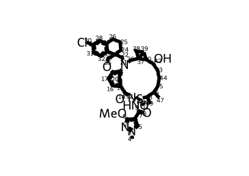 COc1nn(C)cc1C(=O)NS1(=O)=NC(=O)c2ccc3c(c2)N(CC2(CCCc4cc(Cl)ccc42)CO3)CC23CC2C3C(O)CCCC(C)C1C